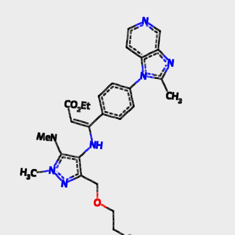 CCOC(=O)C=C(Nc1c(COCCOC)nn(C)c1NC)c1ccc(-n2c(C)nc3cnccc32)cc1